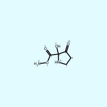 NOC(=O)C1(O)NCCC1=O